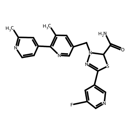 Cc1cc(-c2ncc(CN3N=C(c4cncc(F)c4)SC3C(N)=O)cc2C)ccn1